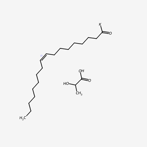 CC(O)C(=O)O.CCCCCCCC/C=C\CCCCCCC[C](=O)[K]